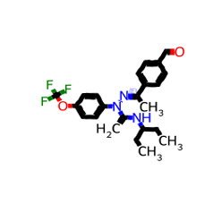 C=C(NC(CC)CC)N(/N=C(\C)c1ccc(C=O)cc1)c1ccc(OC(F)(F)F)cc1